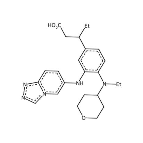 CCC(CC(=O)O)c1ccc(N(CC)C2CCOCC2)c(Nc2ccc3nncn3c2)c1